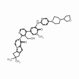 Cn1cc(-c2ccnc(-n3ccn4c5c(cc4c3=O)CC(C)(C)C5)c2CO)cc(Nc2ccc(N3CCN(C4CCOC4)CC3)cn2)c1=O